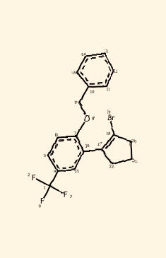 FC(F)(F)c1ccc(OCc2ccccc2)c(C2=C(Br)CCC2)c1